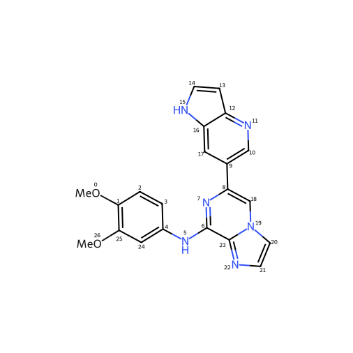 COc1ccc(Nc2nc(-c3cnc4cc[nH]c4c3)cn3ccnc23)cc1OC